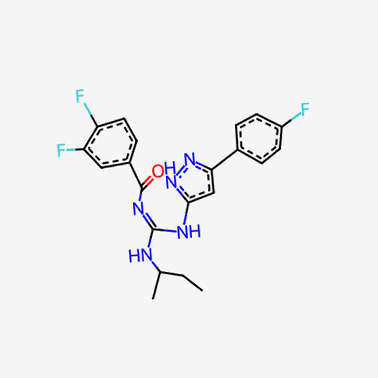 CCC(C)N/C(=N/C(=O)c1ccc(F)c(F)c1)Nc1cc(-c2ccc(F)cc2)n[nH]1